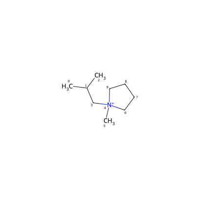 CC(C)C[N+]1(C)CCCC1